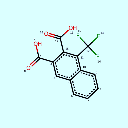 O=C(O)c1cc2ccccc2c(C(F)(F)F)c1C(=O)O